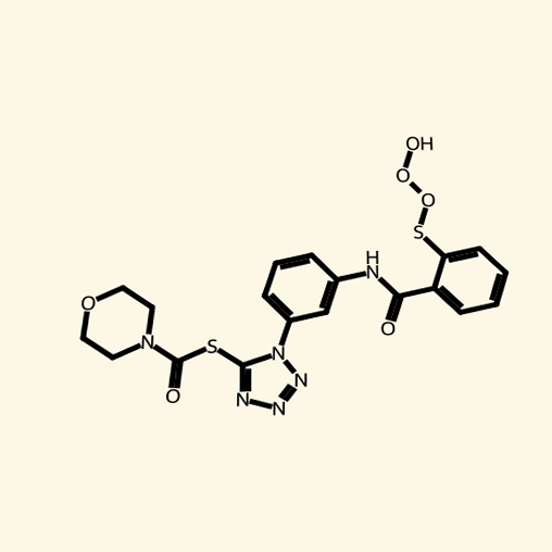 O=C(Nc1cccc(-n2nnnc2SC(=O)N2CCOCC2)c1)c1ccccc1SOOO